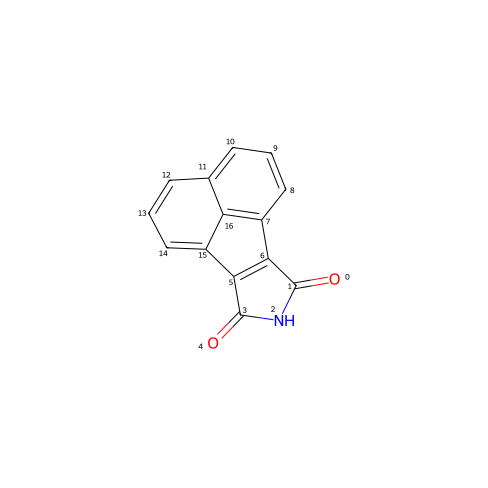 O=C1NC(=O)C2=C1c1cccc3cccc2c13